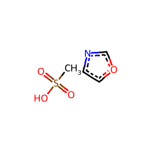 CS(=O)(=O)O.c1cocn1